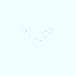 Cn1cnc2ccc(/C=C3\N=C(N[C@H](CO)c4ccccc4)NC3=O)cc21